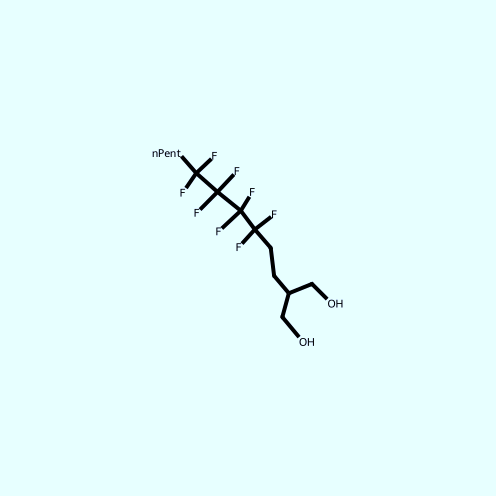 CCCCCC(F)(F)C(F)(F)C(F)(F)C(F)(F)CCC(CO)CO